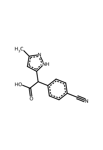 Cc1cc(C(C(=O)O)c2ccc(C#N)cc2)[nH]n1